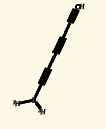 [2H]B([3H])C#CC#CC#C